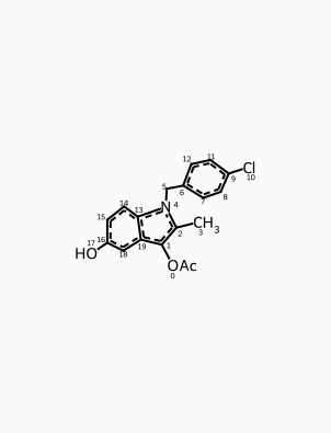 CC(=O)Oc1c(C)n(Cc2ccc(Cl)cc2)c2ccc(O)cc12